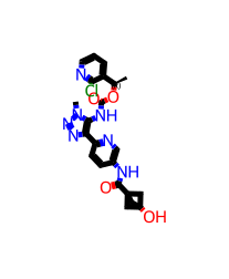 C[C@@H](OC(=O)Nc1c(-c2ccc(NC(=O)C34CC(O)(C3)C4)cn2)nnn1C)c1cccnc1Cl